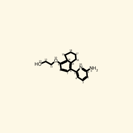 Nc1cccc(-c2ccc(OCCO)c3c2CCCC3)n1